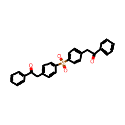 O=C(Cc1ccc(S(=O)(=O)c2ccc(CC(=O)c3ccccc3)cc2)cc1)c1ccccc1